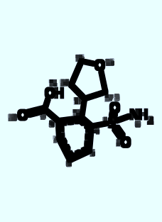 NS(=O)(=O)c1cccc(C(=O)O)c1C1CCOC1